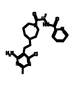 Cc1nc(N)c(CCC2CCCN(C(=O)[C@H](C)NC(=O)c3ccccn3)CC2)c(Cl)n1